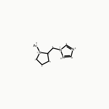 CC(=O)N1CCCC1Cn1cncn1